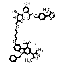 Cc1ncsc1-c1ccc(CNC(=O)[C@@H]2C[C@@H](O)CN2C(=O)C(NC(=O)COCCCCOc2ccc3c(c2)c2c(C(N)=O)cc(-c4c(C)noc4C)cc2n3Cc2ccccc2)C(C)(C)C)cc1